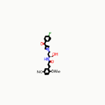 COc1ccc(C#N)cc1C=CC(=O)N[C@H](CO)CCN1CC(C(=O)c2ccc(F)cc2)C1